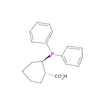 O=C(O)[C@@H]1CCCC[C@H]1P(c1ccccc1)c1ccccc1